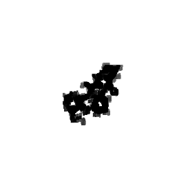 C[C@H](Nc1ncnc(N)c1Br)c1nn2cccc2c(=O)n1-c1ccccc1